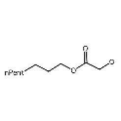 CCCCCCCCOC(=O)C[O]